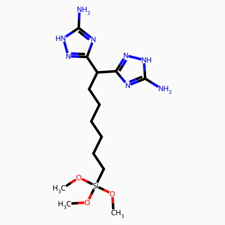 CO[Si](CCCCCCC(c1n[nH]c(N)n1)c1n[nH]c(N)n1)(OC)OC